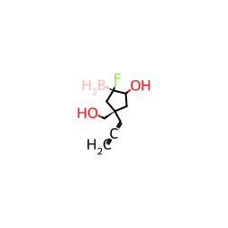 B[C@]1(F)C[C@](C=C=C)(CO)CC1O